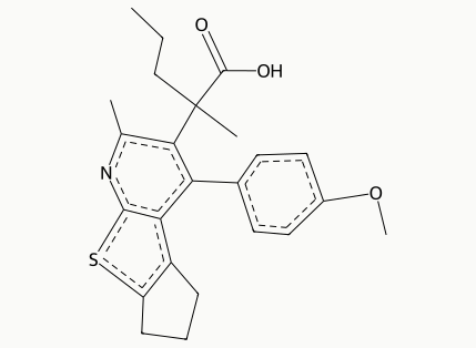 CCCC(C)(C(=O)O)c1c(C)nc2sc3c(c2c1-c1ccc(OC)cc1)CCC3